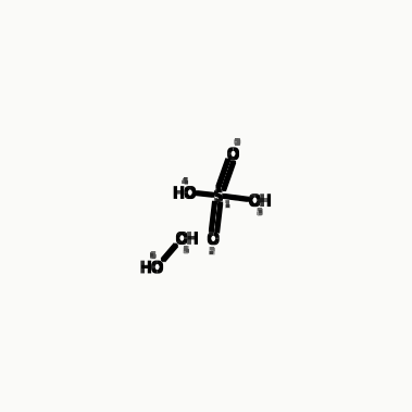 O=S(=O)(O)O.OO